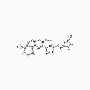 C[C@H]1C(=O)N(Cc2ccc3c(N)ncnc3c2)CCN1C(=O)COc1cc(Cl)cs1